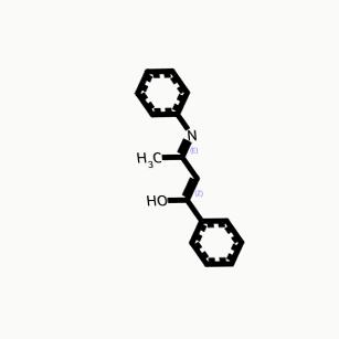 CC(/C=C(\O)c1ccccc1)=N\c1ccccc1